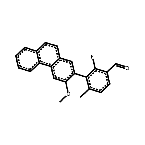 COc1cc2c(ccc3ccccc32)cc1-c1c(C)ccc(C=O)c1F